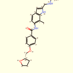 Cc1c(NC(=O)c2ccc(OC[C@@H]3CCCO3)cc2)ccc2cc(CNCC(C)C)[nH]c12